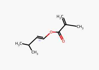 C=C(C)C(=O)O/C=C/C(C)C